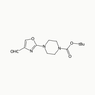 CC(C)(C)OC(=O)N1CCN(c2nc(C=O)co2)CC1